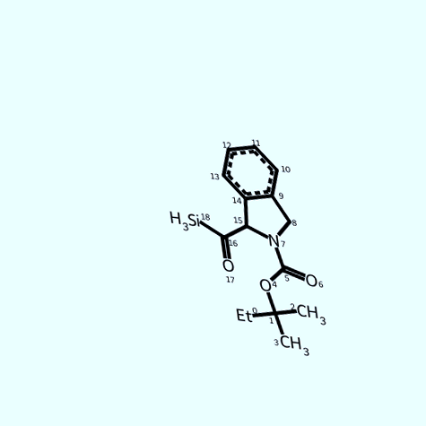 CCC(C)(C)OC(=O)N1Cc2ccccc2C1C(=O)[SiH3]